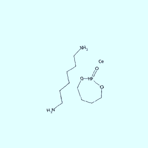 NCCCCCCN.O=[PH]1OCCCCO1.[Ce]